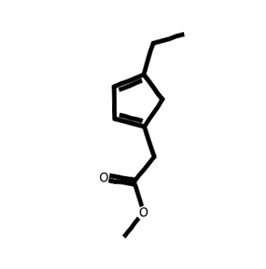 CCC1=CC=C(CC(=O)OC)C1